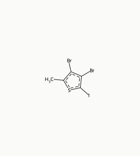 Cc1sc(I)c(Br)c1Br